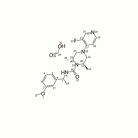 COc1cccc(C(C)NC(=O)N2[C@H](C)CN(c3ccncc3F)C[C@H]2C)c1.O=CO